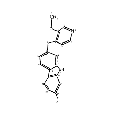 COc1cnccc1Cc1ccc2c(c1)[nH]c1cc(F)ccc12